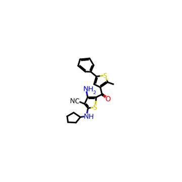 Cc1sc(-c2ccccc2)cc1C(=O)c1sc(NC2CCCC2)c(C#N)c1N